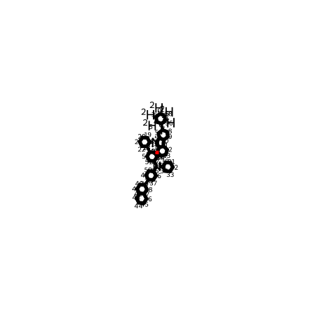 [2H]c1c([2H])c([2H])c(-c2ccc3c4ccccc4n(-c4ccccc4-c4ccc(N(c5ccccc5)c5ccc(-c6ccc7ccccc7c6)cc5)cc4)c3c2)c([2H])c1[2H]